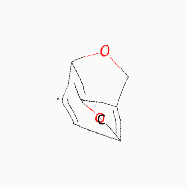 [c]1cc2c3c(c1OC3)OC2